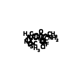 C[C@@H]1SCc2ncnc(N3CCN(C(=O)C(CC(C)(C)N)c4ccc(Cl)c(F)c4)C[C@@H]3C)c21